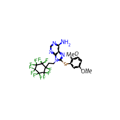 COc1ccc(OC)c(Sc2nc3c(N)ncnc3n2CCC2(F)C(F)(F)C(F)(F)C(F)(F)C(F)(F)C2(F)F)c1